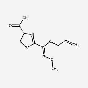 C=CCS/C(=N\OC)C1=N[C@@H](C(=O)O)CS1